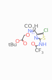 CC(C)(C)OC(=O)CO/N=C(/C(=O)O)c1nc(NC(=O)C(F)(F)F)sc1Cl